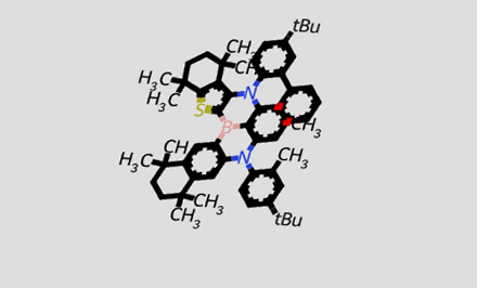 Cc1cc2c3c(c1)N(c1ccc(C(C)(C)C)cc1-c1ccccc1)c1c(sc4c1C(C)(C)CCC4(C)C)B3c1cc3c(cc1N2c1ccc(C(C)(C)C)cc1C)C(C)(C)CCC3(C)C